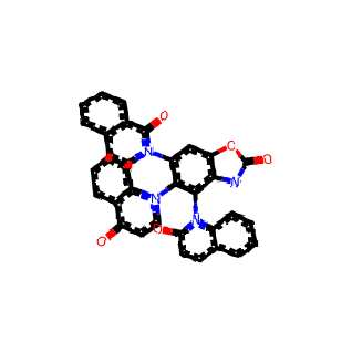 O=C1[N]c2c(cc(-n3ccc4ccccc4c3=O)c(-n3ccc(=O)c4ccccc43)c2-n2c(=O)ccc3ccccc32)O1